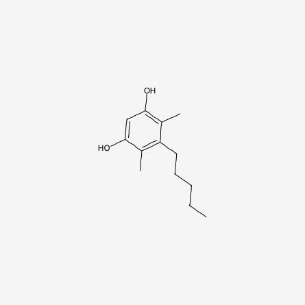 CCCCCc1c(C)c(O)cc(O)c1C